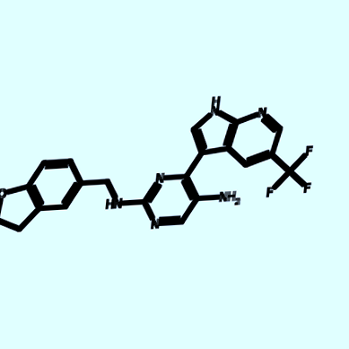 Nc1cnc(NCc2ccc3c(c2)CCO3)nc1-c1c[nH]c2ncc(C(F)(F)F)cc12